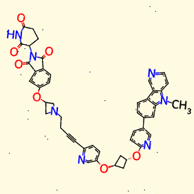 Cn1c2ccncc2c2ccc(-c3ccc(O[C@H]4C[C@H](Oc5ccc(C#CCCN6CC(Oc7ccc8c(c7)C(=O)N(C7CCC(=O)NC7=O)C8=O)C6)nc5)C4)nc3)cc21